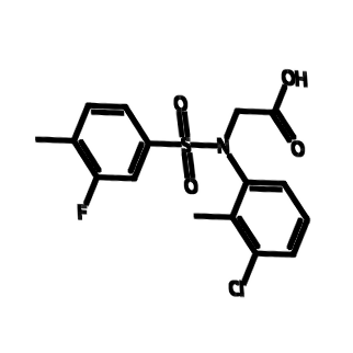 Cc1ccc(S(=O)(=O)N(CC(=O)O)c2cccc(Cl)c2C)cc1F